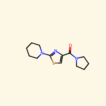 O=C(c1csc(N2CCCCC2)n1)N1CCCC1